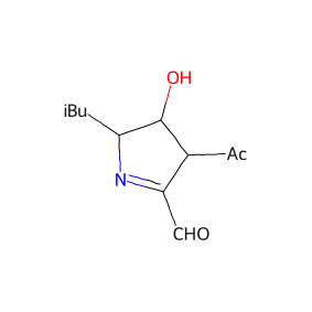 CCC(C)C1N=C(C=O)C(C(C)=O)C1O